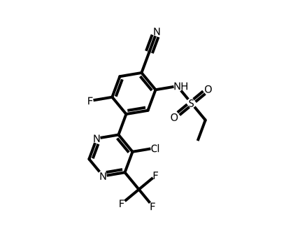 CCS(=O)(=O)Nc1cc(-c2ncnc(C(F)(F)F)c2Cl)c(F)cc1C#N